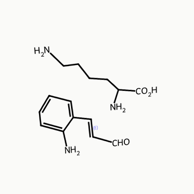 NCCCCC(N)C(=O)O.Nc1ccccc1/C=C/C=O